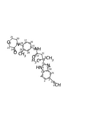 C#Cc1ccc2[nH]c(C(C)(C)CC(=O)Nc3ccc(N4CCOCC4=O)c(C)c3)nc2c1